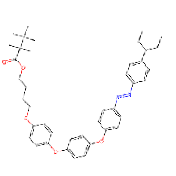 CCC(CC)c1ccc(N=Nc2ccc(Oc3ccc(Oc4ccc(OCCCCOC(=O)C(C)(C)C(C)(C)C)cc4)cc3)cc2)cc1